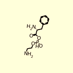 NCCO[PH](=O)OC(=O)[C@H](N)Cc1ccccc1